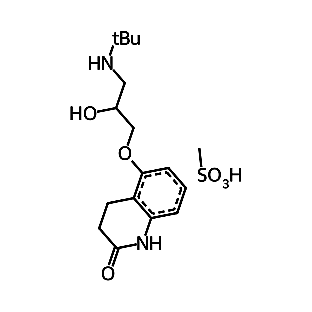 CC(C)(C)NCC(O)COc1cccc2c1CCC(=O)N2.CS(=O)(=O)O